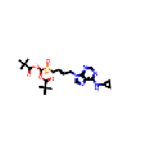 CC(C)(C)C(=O)OC(OC(=O)C(C)(C)C)[PH](=O)C/C=C/Cn1cnc2c(NC3CC3)ncnc21